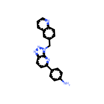 Nc1ccc(-c2ccc3nnn(Cc4ccc5ncccc5c4)c3n2)cc1